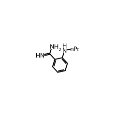 CCCNc1ccccc1C(=N)N